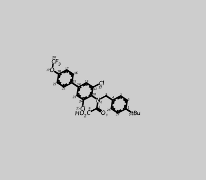 CC(C)(C)c1ccc(CN(C(=O)C(=O)O)c2c(Cl)cc(-c3ccc(OC(F)(F)F)cc3)cc2Cl)cc1